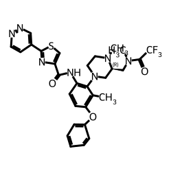 Cc1c(Oc2ccccc2)ccc(NC(=O)c2csc(-c3ccnnc3)n2)c1N1CCN(C)[C@@H](CN(C)C(=O)C(F)(F)F)C1